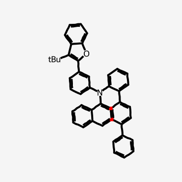 CC(C)(C)c1c(-c2cccc(N(c3ccccc3-c3ccc(-c4ccccc4)cc3)c3cccc4ccccc34)c2)oc2ccccc12